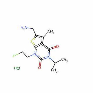 Cc1c(CN)sc2c1c(=O)n(C(C)C)c(=O)n2CCF.Cl